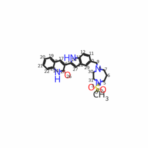 CS(=O)(=O)N1CCCN(Cc2ccc3[nH]c(-c4cc5ccccc5[nH]c4=O)cc3c2)CC1